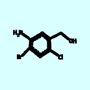 Nc1cc(CO)c(Cl)cc1Br